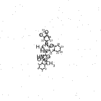 Cc1ccccc1S(=O)(=O)NC(=O)NC(Cc1ccccc1)C(=O)N(C)c1ccc2c(c1)OCO2